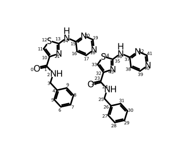 O=C(NCc1ccccc1)c1csc(Nc2ccncn2)n1.O=C(NCc1ccccc1)c1csc(Nc2ccncn2)n1